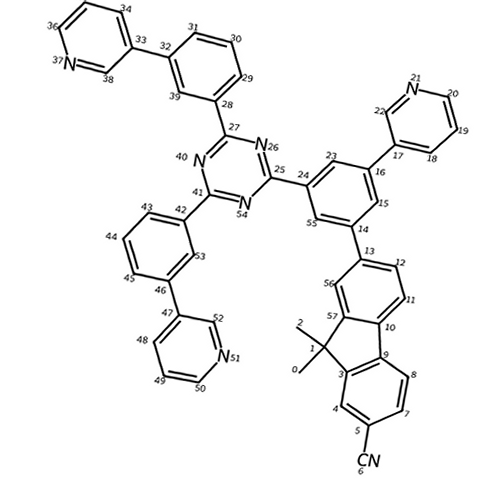 CC1(C)c2cc(C#N)ccc2-c2ccc(-c3cc(-c4cccnc4)cc(-c4nc(-c5cccc(-c6cccnc6)c5)nc(-c5cccc(-c6cccnc6)c5)n4)c3)cc21